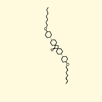 CCCCCCCO[C@H]1CC[C@H](C2CCC3(CC2)CC2(CCC([C@H]4CC[C@H](OCCCCCCC)CC4)CC2)C3=O)CC1